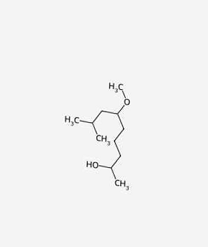 COC(CCCC(C)O)CC(C)C